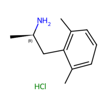 Cc1cccc(C)c1C[C@@H](C)N.Cl